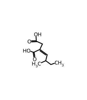 CCC(C)C=C(CC(=O)O)C(=O)O